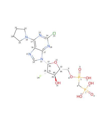 O=P(O)(O)CP(=O)(O)OC[C@H]1O[C@@H](n2cnc3c(N4CCCC4)nc(Cl)nc32)[C@@H](F)[C@@H]1O